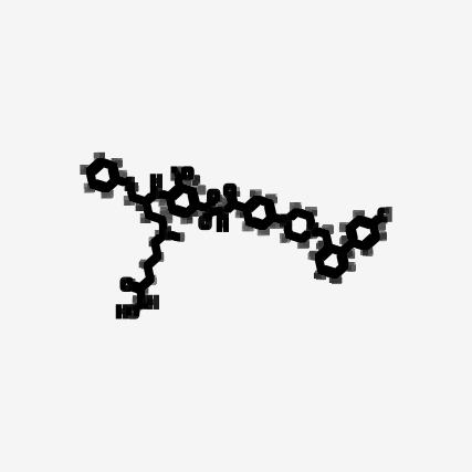 CN(CCCCC(=O)NO)CCC(CSc1ccccc1)Nc1ccc(S(=O)(=O)NC(=O)c2ccc(N3CCN(Cc4ccccc4-c4ccc(Cl)cc4)CC3)cc2)cc1[N+](=O)[O-]